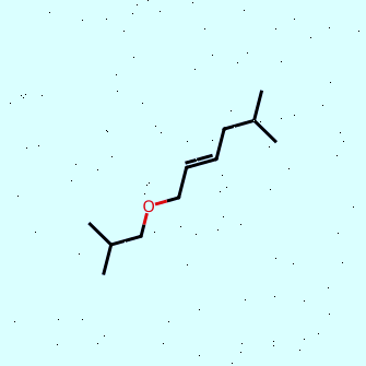 CC(C)C/C=C/COCC(C)C